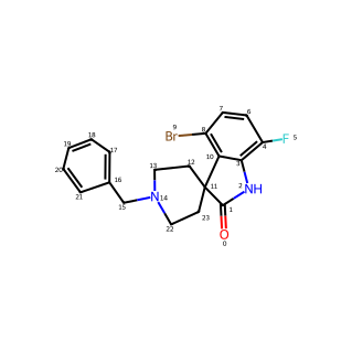 O=C1Nc2c(F)ccc(Br)c2C12CCN(Cc1ccccc1)CC2